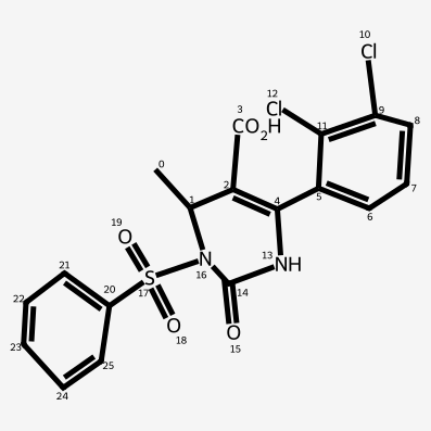 CC1C(C(=O)O)=C(c2cccc(Cl)c2Cl)NC(=O)N1S(=O)(=O)c1ccccc1